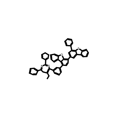 CCC1=C(c2cccc(-c3ccc(-c4cc(-c5ccccc5)c5sc6ccccc6c5c4)c4oc5ccccc5c34)c2)N=C(C2=CCCC=C2)N=C(c2ccccc2)C1